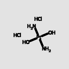 Cl.Cl.[NH2][Pt]([NH2])([OH])[OH]